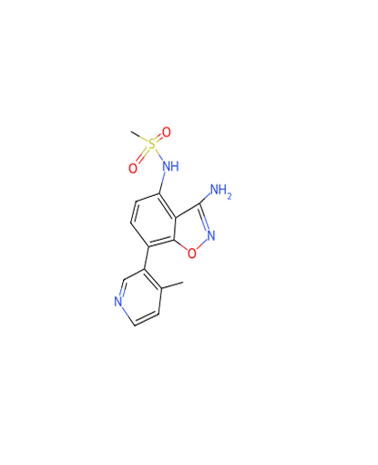 Cc1ccncc1-c1ccc(NS(C)(=O)=O)c2c(N)noc12